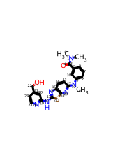 CN(C)C(=O)c1cccc(N(C)c2ccc3nc(Nc4cc(CO)ccn4)sc3n2)c1